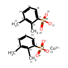 Cc1cccc(S(=O)(=O)[O-])c1C.Cc1cccc(S(=O)(=O)[O-])c1C.[Cu+2]